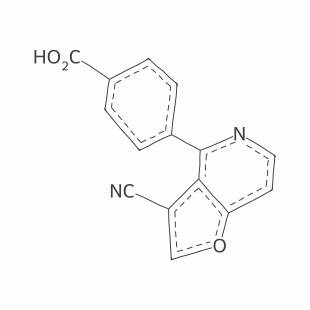 N#Cc1coc2ccnc(-c3ccc(C(=O)O)cc3)c12